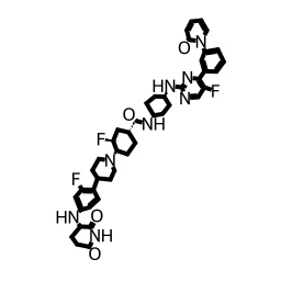 O=C1CCC(Nc2ccc(C3CCN([C@@H]4CC[C@@H](C(=O)N[C@H]5CC[C@H](Nc6ncc(F)c(-c7cccc(-n8ccccc8=O)c7)n6)CC5)C[C@@H]4F)CC3)c(F)c2)C(=O)N1